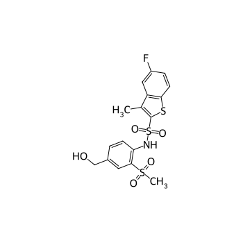 Cc1c(S(=O)(=O)Nc2ccc(CO)cc2S(C)(=O)=O)sc2ccc(F)cc12